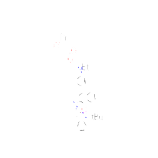 CCN(CCOC(=O)CCC(=O)C(C)C)c1ccc(-c2cc3c(c4ccccc24)OC2(C=N3)N(CC(C)(C)C)c3ccccc3C2(C)C)cc1